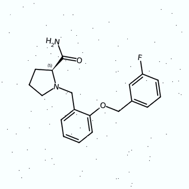 NC(=O)[C@@H]1CCCN1Cc1ccccc1OCc1cccc(F)c1